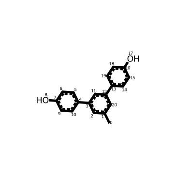 Cc1cc(-c2ccc(O)cc2)cc(-c2ccc(O)cc2)c1